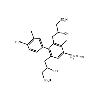 Cc1cc(-c2c(CC(O)CS(=O)(=O)O)cc(N)c(C)c2CC(O)CS(=O)(=O)O)ccc1N.[NaH].[NaH]